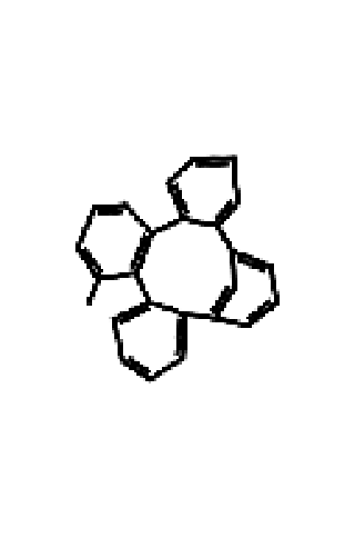 Cc1cc[c]c2c1-c1ccccc1-c1cccc(c1)-c1ccccc1-2